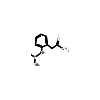 CCCCP(C)Nc1ccccc1CC(N)=O